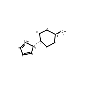 O[C@H]1CC[C@H](n2c[c]cn2)CC1